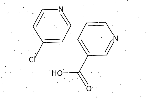 Clc1ccncc1.O=C(O)c1cccnc1